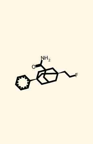 NC(=O)C12CC3C[C@@](CCF)(C1)C[C@](c1ccccc1)(C3)C2